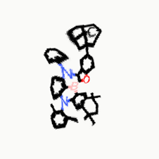 Cc1cccc(C)c1N1c2cc3c(cc2B2c4oc5ccc(C67CC8CC9CC(C6)C97C8)cc5c4N(c4ccccc4)c4cccc1c42)C(C)(C)CCC3(C)C